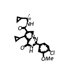 COc1cc(-c2nn3cc(C(=O)N[C@@H](C)C4CC4)c(C4CC4)c3c(=O)[nH]2)ccc1Cl